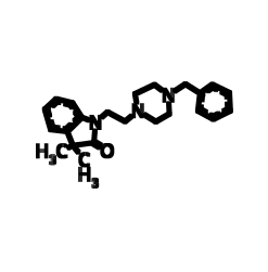 CC1(C)C(=O)N(CCN2CCN(Cc3ccccc3)CC2)c2ccccc21